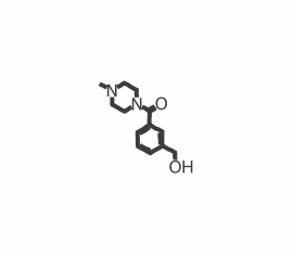 CN1CCN(C(=O)c2cccc(CO)c2)CC1